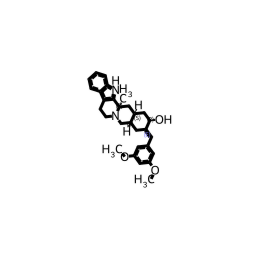 COc1cc(/C=C2\C[C@@H]3CN4CCc5c([nH]c6ccccc56)[C@@]4(C)C[C@H]3C[C@H]2O)cc(OC)c1